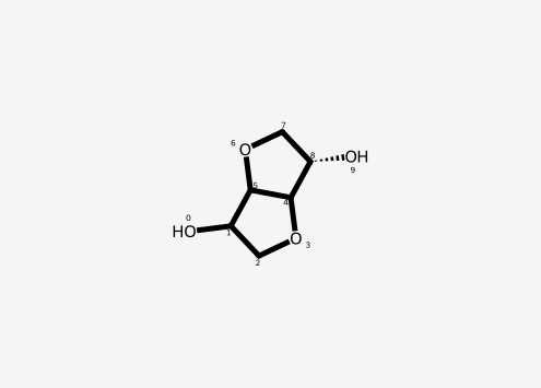 OC1COC2C1OC[C@@H]2O